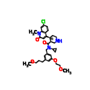 COCCCc1cc(CN(C(=O)C2CNCC[C@@H]2c2cc(=O)n(C)c3cc(Cl)ccc23)C2CC2)cc(OCCOC)c1